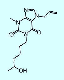 C=CCn1cnc2c1c(=O)n(CCCCC(C)O)c(=O)n2C